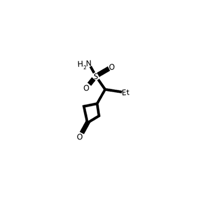 CCC(C1CC(=O)C1)S(N)(=O)=O